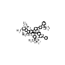 C=C1C=C(c2ccccc2)Oc2cc3c(cc21)Bc1c(-c2cc4c(cc2Nc2ccc(C(C)(C)C)cc2)C(C)(C)c2cc5c(cc2-4)C(C)(C)CCC5(C)C)ccc2c4cc5c(cc4n-3c12)C(C)(C)c1ccccc1-5